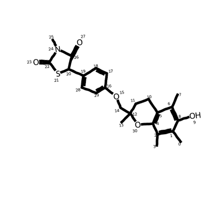 Cc1c(C)c2c(c(C)c1O)CCC(C)(COc1ccc(C3SC(=O)N(C)C3=O)cc1)O2